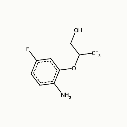 Nc1ccc(F)cc1OC(CO)C(F)(F)F